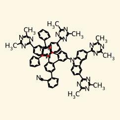 Cc1nc(C)nc(-c2ccc3c(c2)c2cc(-c4nc(C)nc(C)n4)ccc2n3-c2ccc(-c3nc(-c4ccccc4)nc(-c4ccccc4)n3)c(-c3cc(-c4ccccc4C#N)ccc3-n3c4ccc(-c5nc(C)nc(C)n5)cc4c4cc(-c5nc(C)nc(C)n5)ccc43)c2)n1